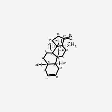 C[C@]12CC[C@H]3[C@@H](CC[C@H]4CC=CC[C@@H]43)[C@@H]1CCC2=O